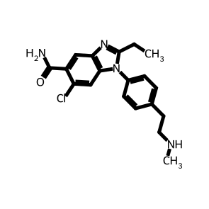 CCc1nc2cc(C(N)=O)c(Cl)cc2n1-c1ccc(CCNC)cc1